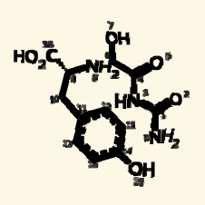 NC(=O)NC(=O)CO.N[C@H](Cc1ccc(O)cc1)C(=O)O